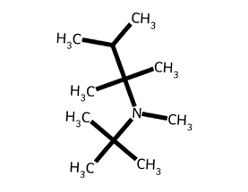 CC(C)C(C)(C)N(C)C(C)(C)C